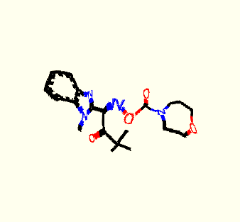 Cn1c(/C(=N/OC(=O)N2CCOCC2)C(=O)C(C)(C)C)nc2ccccc21